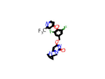 O=c1nc(OCc2cc(F)c(Oc3ccnc(C(F)(F)F)c3)c(F)c2)cc2n1CC13CC1=CN23